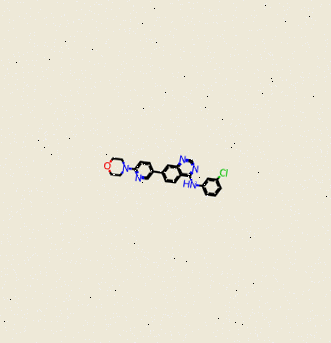 Clc1cccc(Nc2ncnc3cc(-c4ccc(N5CCOCC5)nc4)ccc23)c1